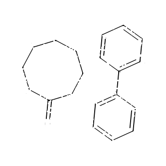 O=C1CCCCCCC1.c1ccc(-c2ccccc2)cc1